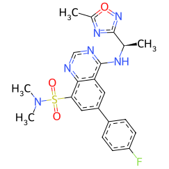 Cc1nc([C@@H](C)Nc2ncnc3c(S(=O)(=O)N(C)C)cc(-c4ccc(F)cc4)cc23)no1